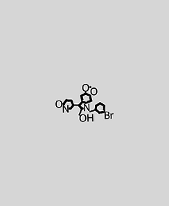 COc1ccc(-c2c(CO)n(Cc3cccc(Br)c3)c3cc4c(cc23)OCO4)cn1